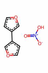 O=[N+]([O-])O.c1cc(-c2ccoc2)co1